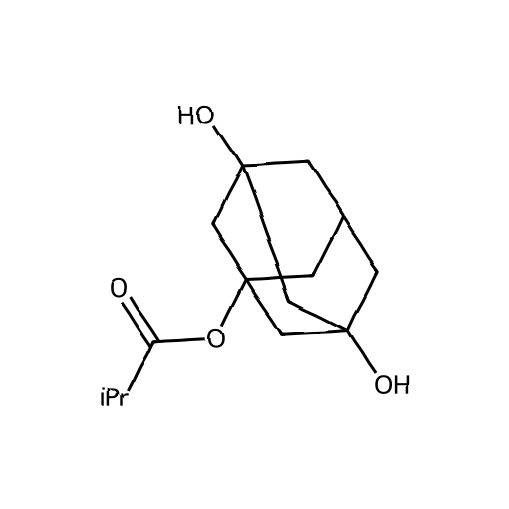 CC(C)C(=O)OC12CC3CC(O)(CC(O)(C3)C1)C2